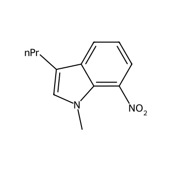 CCCc1cn(C)c2c([N+](=O)[O-])cccc12